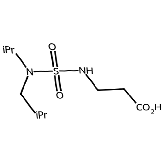 CC(C)CN(C(C)C)S(=O)(=O)NCCC(=O)O